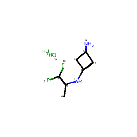 CC(NC1CC(N)C1)C(F)F.Cl.Cl